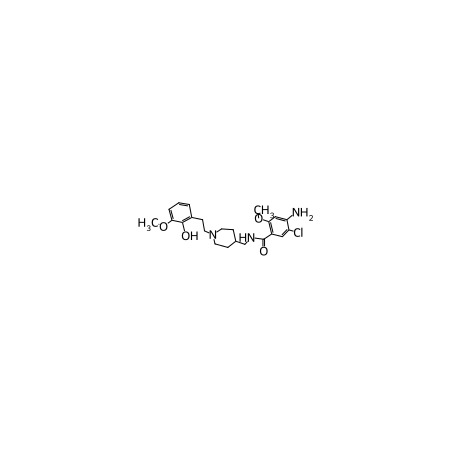 COc1cc(N)c(Cl)cc1C(=O)NCC1CCN(CCc2cccc(OC)c2O)CC1